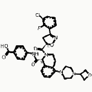 O=C(O)c1ccc(NC(=O)[C@H]2c3cccc(N4CCN(C5COC5)CC4)c3CCN2C(=O)[C@H]2CC(c3cccc(Cl)c3F)=NO2)cc1